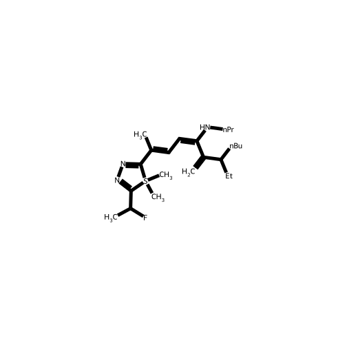 C=C(/C(=C\C=C(/C)C1=NN=C(C(C)F)S1(C)C)NCCC)C(CC)CCCC